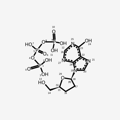 O=P(O)(O)OP(=O)(O)OP(=O)(O)O.OC[C@@H]1CC[C@H](n2cnc3c(O)ncnc32)O1